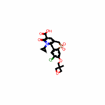 CC1(COc2cc3c(cc2Cl)-c2c(cc(C(=O)O)c(=O)n2C2CC2)CS3(=O)=O)COC1